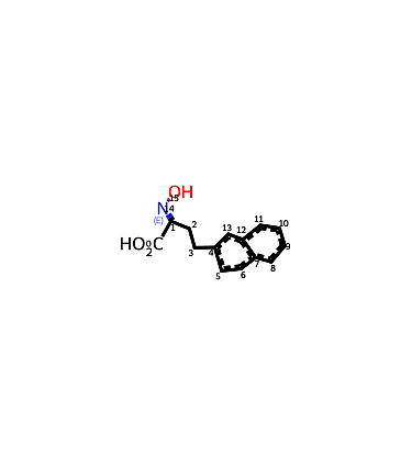 O=C(O)/C(CCc1ccc2ccccc2c1)=N/O